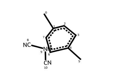 Cc1ccc(C)cc1.N#CNC#N